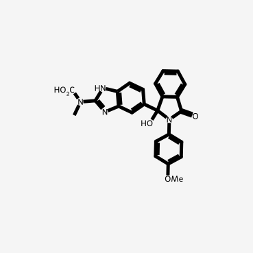 COc1ccc(N2C(=O)c3ccccc3C2(O)c2ccc3[nH]c(N(C)C(=O)O)nc3c2)cc1